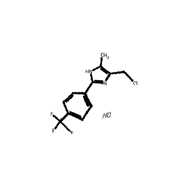 Cc1[nH]c(-c2ccc(C(F)(F)F)cc2)nc1CCl.Cl